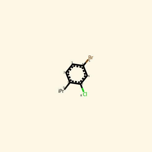 CC(C)c1ccc(Br)cc1Cl